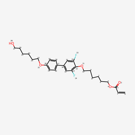 C=CC(=O)OCCCCCCOc1c(F)cc(-c2ccc(OCCCCCCO)cc2)cc1F